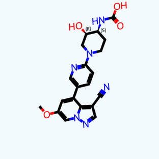 COc1cc(-c2ccc(N3CC[C@H](NC(=O)O)[C@H](O)C3)nc2)c2c(C#N)cnn2c1